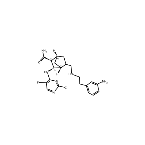 NC(=O)[C@H]1[C@@H]2CC(CNCCc3cccc(N)c3)[C@@H](C2)[C@H]1Nc1nc(Cl)ncc1F